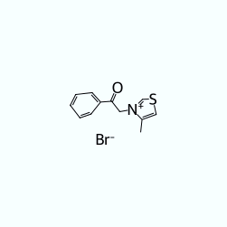 Cc1csc[n+]1CC(=O)c1ccccc1.[Br-]